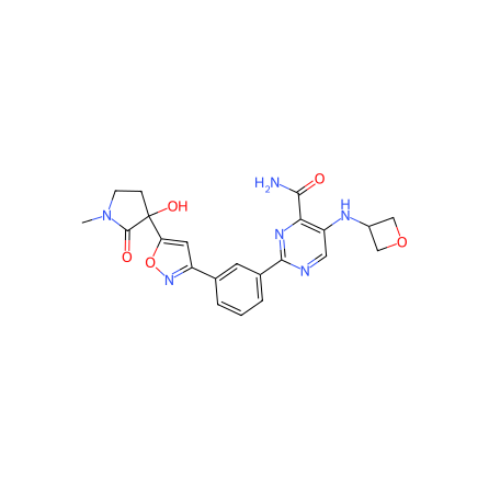 CN1CCC(O)(c2cc(-c3cccc(-c4ncc(NC5COC5)c(C(N)=O)n4)c3)no2)C1=O